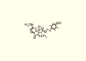 C/C=C(/C=O)[C@](O)(CC(=O)OCCc1ccc(O)cc1)C(C=O)CC(=O)OC